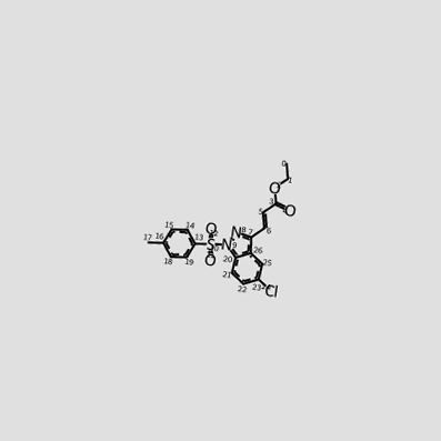 CCOC(=O)/C=C/c1nn(S(=O)(=O)c2ccc(C)cc2)c2ccc(Cl)cc12